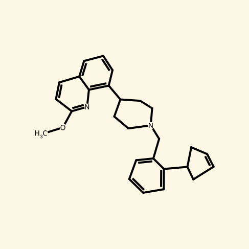 COc1ccc2cccc(C3CCN(Cc4ccccc4C4CC=CC4)CC3)c2n1